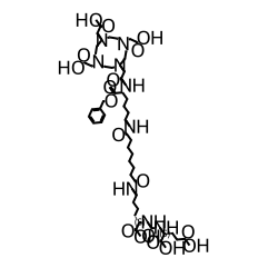 O=C(O)CC[C@H](NC(=O)N[C@@H](CCCCNC(=O)CCCCCCC(=O)NCCCCC(NC(=O)CN1CCN(CC(=O)O)CCN(CC(=O)O)CCN(CC(=O)O)CC1)C(=O)OCc1ccccc1)C(=O)O)C(=O)O